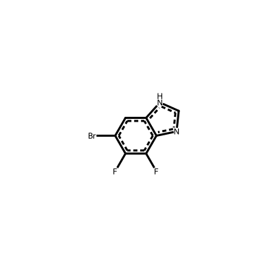 Fc1c(Br)cc2[nH]cnc2c1F